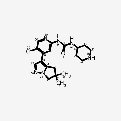 CC1(C)Cc2c(-c3cc(NC(=O)NC4CCNCC4)ncc3Cl)cnn2C1